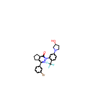 O=c1c2c(c(-c3cccc(Br)c3)nn1-c1cc(N3CC[C@H](O)C3)ccc1C(F)(F)F)CCC2